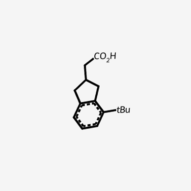 CC(C)(C)c1cccc2c1CC(CC(=O)O)C2